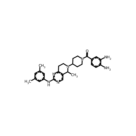 Cc1cc(C)cc(Nc2ncc3c(n2)CCN(C2CCN(C(=O)c4ccc(N)c(N)c4)CC2)C3C)c1